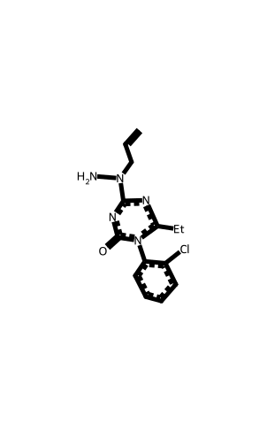 C=CCN(N)c1nc(CC)n(-c2ccccc2Cl)c(=O)n1